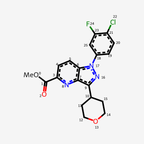 COC(=O)c1ccc2c(n1)c(C1CCOCC1)nn2-c1ccc(Cl)c(F)c1